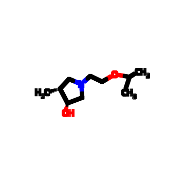 CC(C)OCCN1C[C@@H](C)[C@@H](O)C1